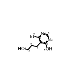 CCc1ncnc(O)c1CCCO